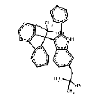 CCCCC(C)(CCC)C1(c2c(-c3ccccc3)[nH]c3cc(CC(C)(C)CCC)ccc23)c2ccccc2-c2ccccc21